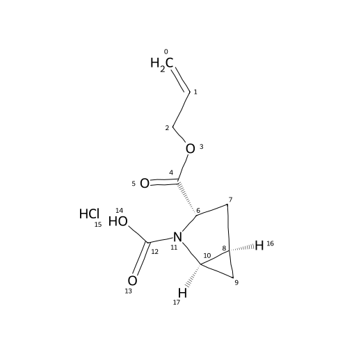 C=CCOC(=O)[C@@H]1C[C@H]2C[C@H]2N1C(=O)O.Cl